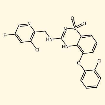 O=S1(=O)N=C(NCc2ncc(F)cc2Cl)Nc2c(Oc3ccccc3Cl)cccc21